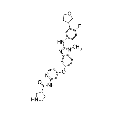 Cn1c(Nc2ccc(F)c(C3CCOC3)c2)nc2cc(Oc3ccnc(NC(=O)C4CCNC4)c3)ccc21